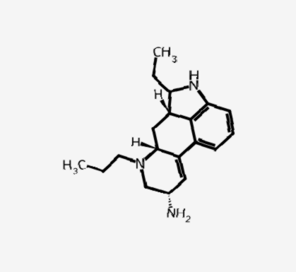 CCCN1C[C@@H](N)C=C2c3cccc4c3[C@H](C[C@H]21)C(CC)N4